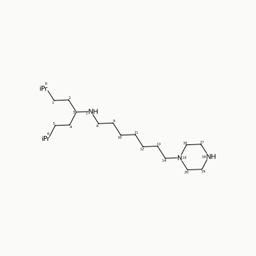 CC(C)CCC(CCC(C)C)NCCCCCCCN1CCNCC1